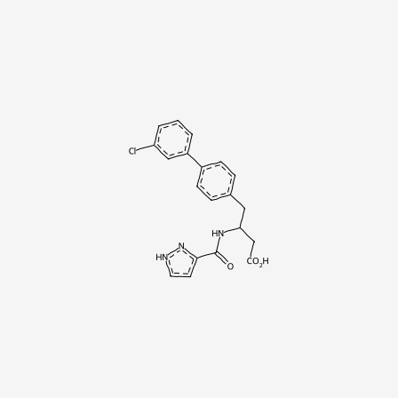 O=C(O)CC(Cc1ccc(-c2cccc(Cl)c2)cc1)NC(=O)c1cc[nH]n1